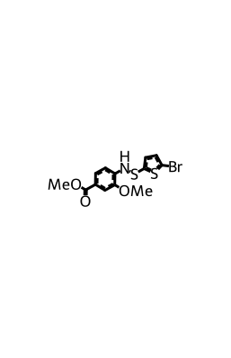 COC(=O)c1ccc(NSc2ccc(Br)s2)c(OC)c1